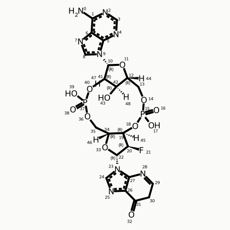 Nc1ncnc2c1ncn2[C@@H]1O[C@@H]2COP(=O)(O)O[C@H]3[C@@H](F)[C@H](n4cnc5c4N=CCC5=O)O[C@@H]3COP(=O)(O)O[C@@H]1[C@@H]2O